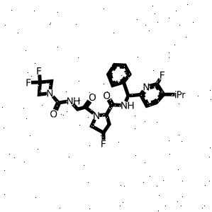 CC(C)c1ccc(C(NC(=O)C2CC(F)CN2C(=O)CNC(=O)N2CC(F)(F)C2)c2ccccc2)nc1F